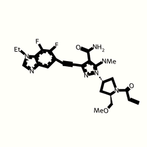 C=CC(=O)N1C[C@@H](n2nc(C#Cc3cc4ncn(CC)c4c(F)c3F)c(C(N)=O)c2NC)C[C@@H]1COC